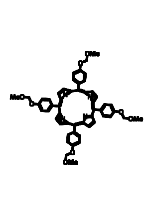 COCOc1ccc(-c2c3nc(c(-c4ccc(OCOC)cc4)c4ccc([nH]4)c(-c4ccc(OCOC)cc4)c4nc(c(-c5ccc(OCOC)cc5)c5ccc2[nH]5)C=C4)C=C3)cc1